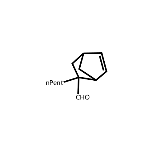 CCCCCC1(C=O)CC2C=CC1C2